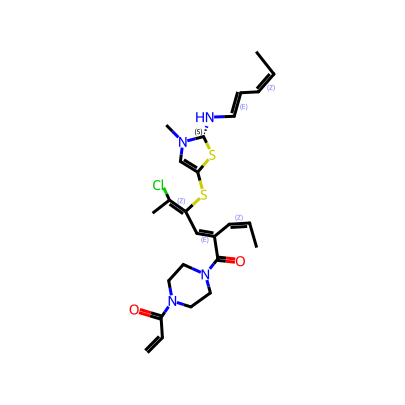 C=CC(=O)N1CCN(C(=O)C(/C=C\C)=C/C(SC2=CN(C)[C@H](N/C=C/C=C\C)S2)=C(\C)Cl)CC1